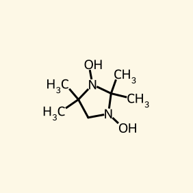 CC1(C)CN(O)C(C)(C)N1O